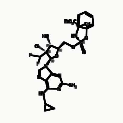 CCOC(=O)C(C)N[P@@](=O)(OC[C@H]1O[C@@H](n2cnc3c(NC4CC4)nc(N)nc32)[C@@](Cl)(C(F)F)[C@@H]1O)Oc1ccccc1